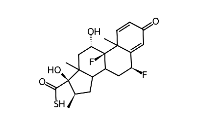 C[C@@H]1CC2C3C[C@H](F)C4=CC(=O)C=CC4(C)[C@@]3(F)[C@@H](O)CC2(C)[C@@]1(O)C(=O)S